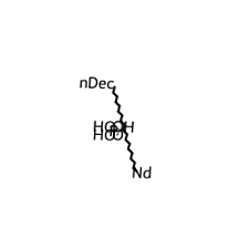 CCCCCCCCCCCCCCCCCCCCCCCCCCC[CH2][Nd].O=P(O)(O)O